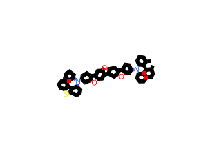 Cc1ccccc1-c1c(C)cccc1N(c1ccccc1)c1ccc2c(c1)oc1cc3c(cc12)oc1cc2c(cc13)oc1cc(N(c3ccccc3)c3cccc4sc5ccccc5c34)ccc12